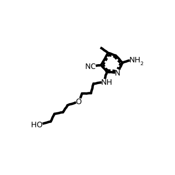 Cc1cc(N)nc(NCCCOCCCCO)c1C#N